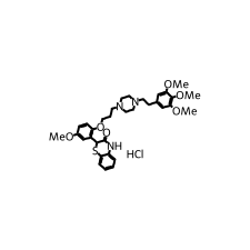 COc1ccc(OCCCN2CCN(CCc3cc(OC)c(OC)c(OC)c3)CC2)c(C2Sc3ccccc3NC2=O)c1.Cl